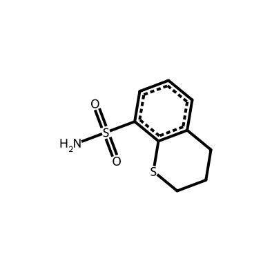 NS(=O)(=O)c1cccc2c1SCCC2